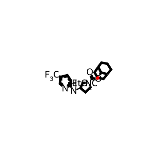 CCOC(=O)C1CC2CCCC(C1)C2OC(=O)N1CC[C@@H](Nc2ccc(C(F)(F)F)cn2)C1